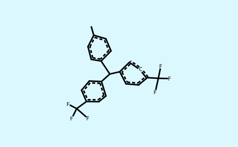 Cc1ccc(C(c2ccc(C(F)(F)F)cc2)c2ccc(C(F)(F)F)cc2)cc1